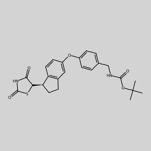 CC(C)(C)OC(=O)NCc1ccc(Oc2ccc3c(c2)CC[C@H]3C2SC(=O)NC2=O)cc1